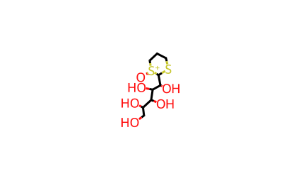 [O-][S+]1CCCSC1C(O)C(O)C(O)C(O)CO